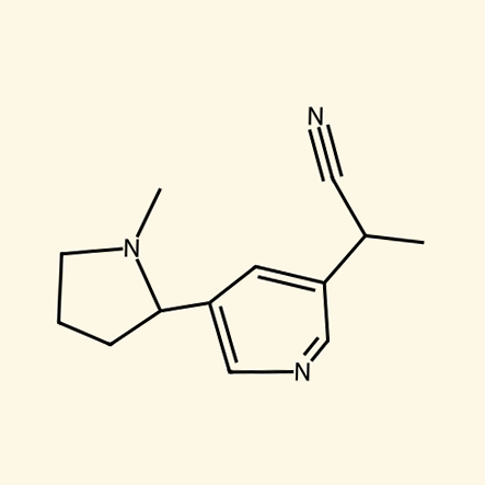 CC(C#N)c1cncc(C2CCCN2C)c1